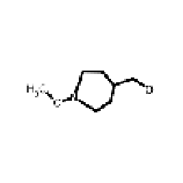 CON1CCC(C[O])CC1